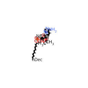 CCCCCCCCCCCCCCCCCCCCOP(=O)(O)OC[C@@]1(C#N)O[C@@H](c2ccc3c(N)ncnn23)[C@@H]2OC(C)(C)O[C@@H]21